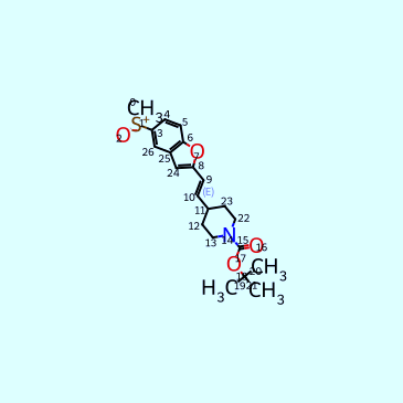 C[S+]([O-])c1ccc2oc(/C=C/C3CCN(C(=O)OC(C)(C)C)CC3)cc2c1